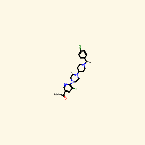 CNC(=O)c1cnc(N2CCN(C3CCN([C@H](C)c4ccc(Cl)cc4)CC3)[C@@H](C)C2)c(Cl)c1